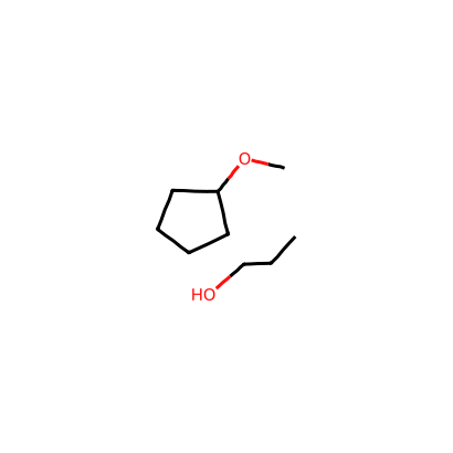 CCCO.COC1CCCC1